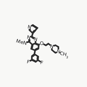 CNc1nc(-c2cccnc2)nc2c(OCCN3CCN(C)CC3)cc(-c3cc(F)cc(F)c3)cc12